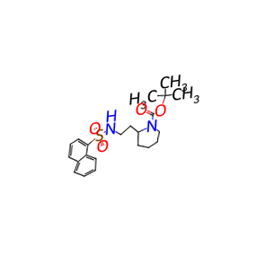 CC(C)(C)OC(=O)N1CCCCC1CCNS(=O)(=O)c1cccc2ccccc12